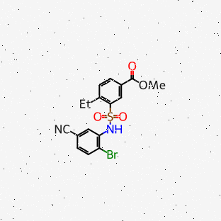 CCc1ccc(C(=O)OC)cc1S(=O)(=O)Nc1cc(C#N)ccc1Br